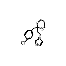 Clc1ccc(CC2(CCn3ccnc3)SCCCS2)cc1